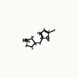 Cc1cnc(CC2CCNC2)o1